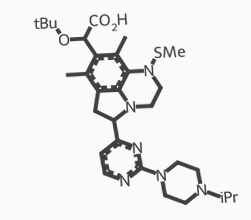 CSN1CCN2c3c(c(C)c(C(OC(C)(C)C)C(=O)O)c(C)c31)CC2c1ccnc(N2CCN(C(C)C)CC2)n1